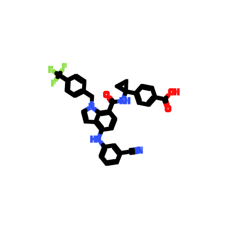 N#Cc1cccc(Nc2ccc(C(=O)NC3(c4ccc(C(=O)O)cc4)CC3)c3c2ccn3Cc2ccc(C(F)(F)F)cc2)c1